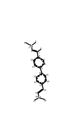 CC(=CN(C)C)c1ccc(-c2ccc(C=CN(C)C)cc2)cc1